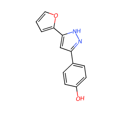 Oc1ccc(-c2cc(-c3ccco3)[nH]n2)cc1